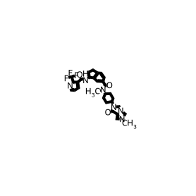 CN1C=C2C(=O)N(C3CCC(N(C)C(=O)c4ccc5c(c4)C(NC(=O)c4cccnc4C(F)(F)F)CC5)CC3)CN2C1